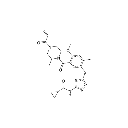 C=CC(=O)N1CCN(C(=O)c2cc(Sc3cnc(NC(=O)C4CC4)s3)c(C)cc2OC)C(C)C1